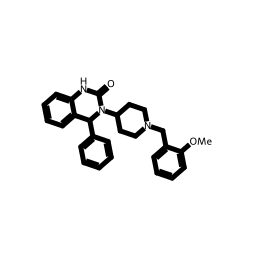 COc1ccccc1CN1CCC(N2C(=O)Nc3ccccc3C2c2ccccc2)CC1